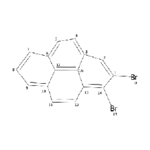 Brc1cc2ccc3cccc4ccc(c1Br)c2c34